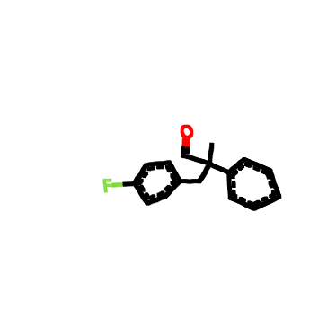 CC(C=O)(Cc1ccc(F)cc1)c1ccccc1